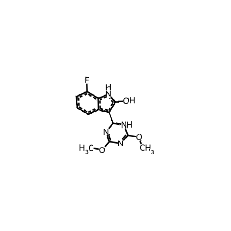 COC1=NC(c2c(O)[nH]c3c(F)cccc23)NC(OC)=N1